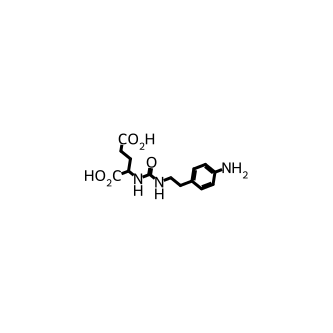 Nc1ccc(CCNC(=O)NC(CCC(=O)O)C(=O)O)cc1